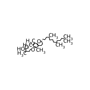 Cc1c(C)c2c(c(C)c1OCCC(C)C(=O)O)CC[C@@H](CCC[C@H](C)CCC[C@H](C)CCCC(C)C)O2